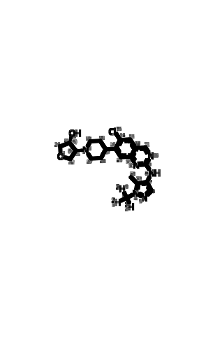 [2H]C([2H])([2H])n1ncc(Nc2ncc3cc(Cl)c(C4CCN([C@H]5COC[C@H]5O)CC4)cc3n2)c1C